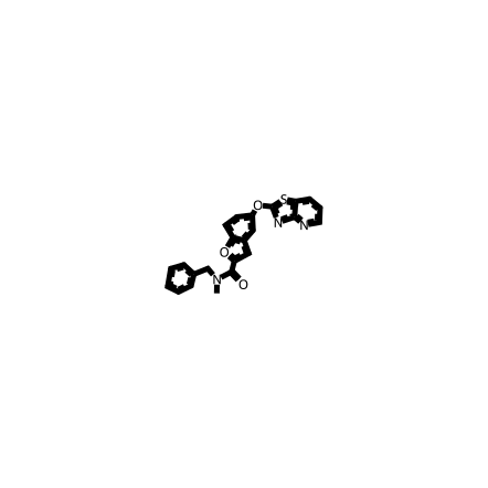 CN(Cc1ccccc1)C(=O)c1cc2cc(Oc3nc4ncccc4s3)ccc2o1